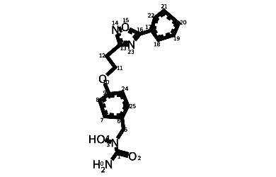 NC(=O)N(O)Cc1ccc(OCCc2noc(-c3ccccc3)n2)cc1